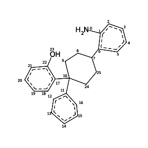 Nc1ccccc1C1CCC(c2ccccc2)(c2ccccc2O)CC1